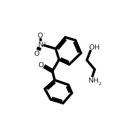 NCCO.O=C(c1ccccc1)c1ccccc1[N+](=O)[O-]